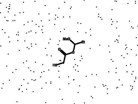 CCC(OC)OC(=O)CS